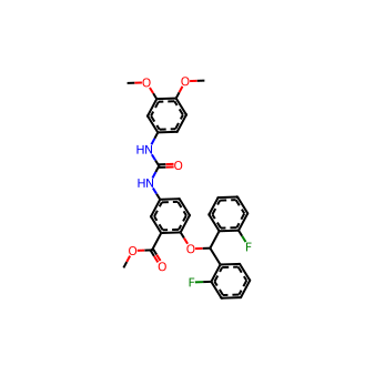 COC(=O)c1cc(NC(=O)Nc2ccc(OC)c(OC)c2)ccc1OC(c1ccccc1F)c1ccccc1F